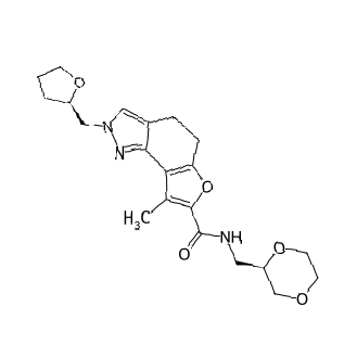 Cc1c(C(=O)NC[C@@H]2COCCO2)oc2c1-c1nn(C[C@H]3CCCO3)cc1CC2